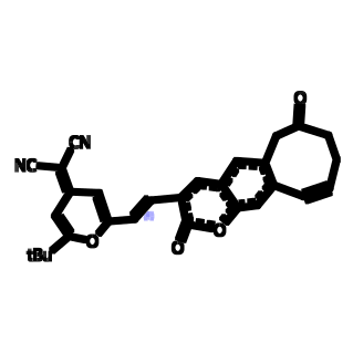 CC(C)(C)C1=CC(=C(C#N)C#N)C=C(/C=C/c2cc3cc4c(cc3oc2=O)C#CCCC(=O)C4)O1